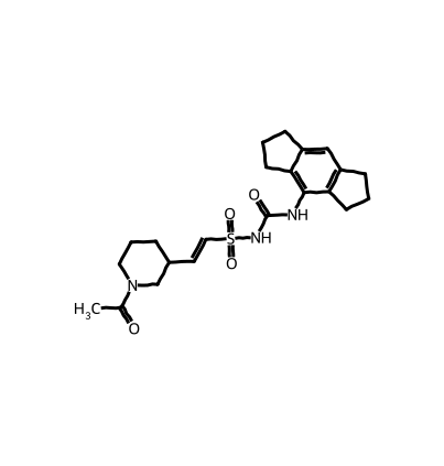 CC(=O)N1CCCC(/C=C/S(=O)(=O)NC(=O)Nc2c3c(cc4c2CCC4)CCC3)C1